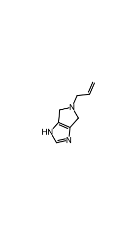 C=CCN1Cc2nc[nH]c2C1